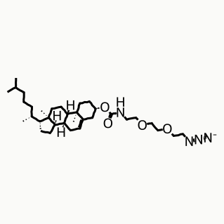 CC(C)CCC[C@@H](C)[C@H]1CC[C@@H]2[C@@H]3CC=C4C[C@@H](OC(=O)NCCOCCOCCN=[N+]=[N-])CC[C@]4(C)[C@H]3CC[C@@]21C